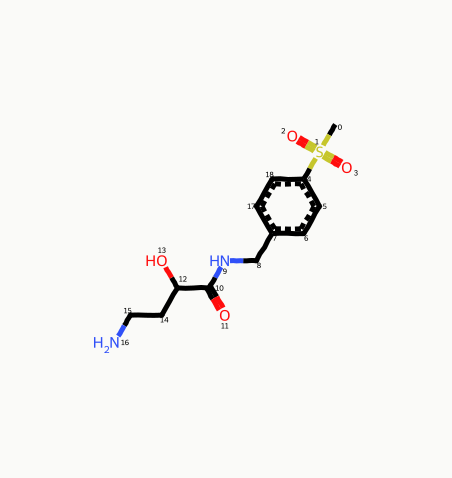 CS(=O)(=O)c1ccc(CNC(=O)C(O)CCN)cc1